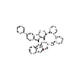 c1ccc(-c2ccc3oc4ccccc4c4ccccc4c4ccc5c6cc(-c7ccccc7)ccc6n(-c6ccccc6)c5c4c3c2)cc1